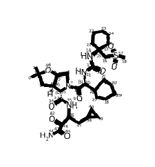 CC1(C)C[C@H]2C(CN(C(=O)[C@@H](NC(=O)NC3(CS(C)(=O)=O)CCCCC3)C3CCCCC3)[C@@H]2C(=O)NC(CC2CC2)C(=O)C(N)=O)O1